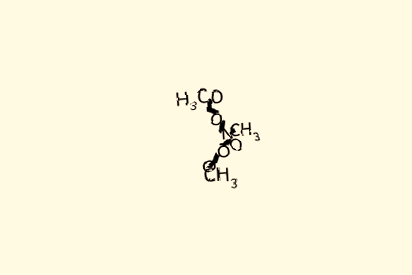 COCCOCC(=O)N(C)CCOCCC(C)=O